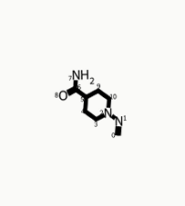 C=NN1CCC(C(N)=O)CC1